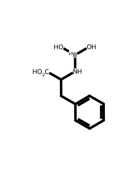 O=C(O)C(Cc1ccccc1)N[10B](O)O